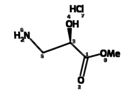 COC(=O)[C@H](O)CN.Cl